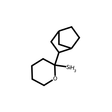 [SiH3]C1(C2CC3CCC2C3)CCCCO1